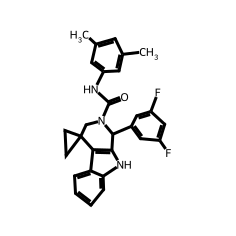 Cc1cc(C)cc(NC(=O)N2CC3(CC3)c3c([nH]c4ccccc34)C2c2cc(F)cc(F)c2)c1